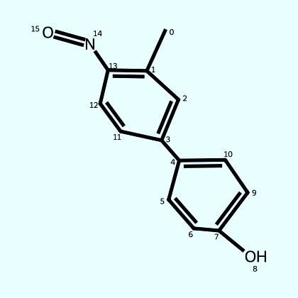 Cc1cc(-c2ccc(O)cc2)ccc1N=O